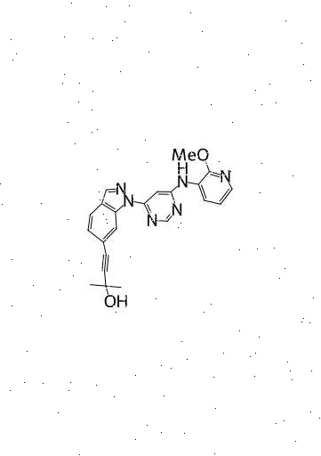 COc1ncccc1Nc1cc(-n2ncc3ccc(C#CC(C)(C)O)cc32)ncn1